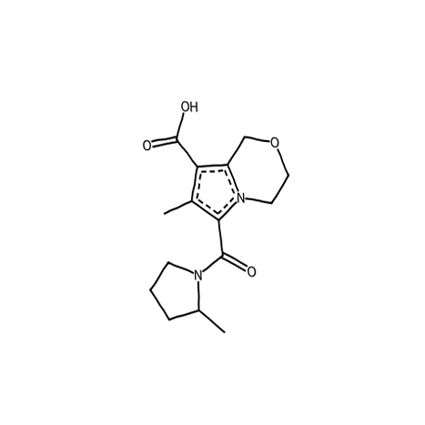 Cc1c(C(=O)O)c2n(c1C(=O)N1CCCC1C)CCOC2